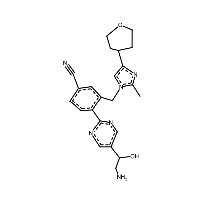 Cc1nc(C2CCOCC2)cn1Cc1cc(C#N)ccc1-c1ncc(C(O)CN)cn1